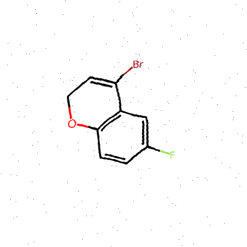 Fc1ccc2c(c1)C(Br)=CCO2